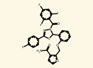 NC(=O)c1ccoc1COc1ccccc1C1SC(c2ccc(F)cc2)=NN1C(=O)c1c(F)cc(F)cc1F